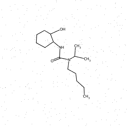 CCCCCN(C(=O)NC1CCCCC1O)C(C)C